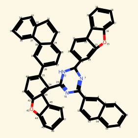 c1ccc2cc(C3=NC(c4ccc5c(c4)oc4ccccc45)NC(c4c(-c5ccc6ccc7ccccc7c6c5)ccc5oc6ccccc6c45)=N3)ccc2c1